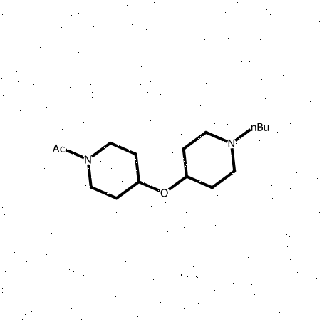 CCCCN1CCC(OC2CCN(C(C)=O)CC2)CC1